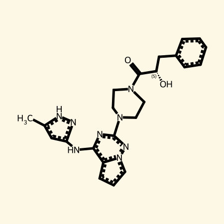 Cc1cc(Nc2nc(N3CCN(C(=O)[C@@H](O)Cc4ccccc4)CC3)nn3cccc23)n[nH]1